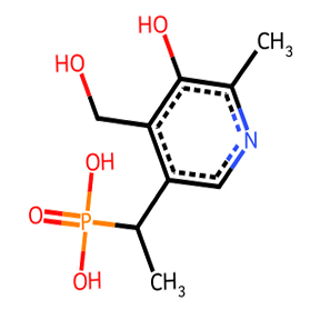 Cc1ncc(C(C)P(=O)(O)O)c(CO)c1O